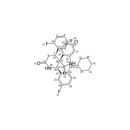 O=C1C[C@@H](C2C=C(F)C=CC2F)[C@]2(C(=O)Nc3cc(Cl)ccc32)[C@@H](c2cc(F)ccc2OC2CCCCC2)N1